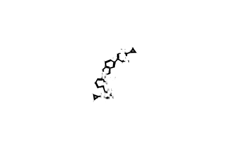 O=C1c2cc(-c3cnc(C4CC4)nc3)ccc2CN1c1cccc(-c2nncn2C2CC2)n1